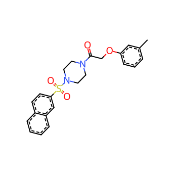 Cc1cccc(OCC(=O)N2CCN(S(=O)(=O)c3ccc4ccccc4c3)CC2)c1